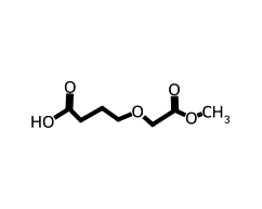 COC(=O)COCCCC(=O)O